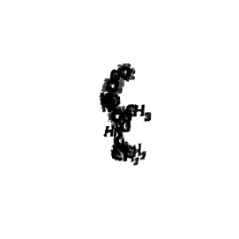 CCN(CC)CCNC(=O)c1ccc(-c2nnc(-c3ccc(Oc4ccccc4)cc3)o2)cc1OC